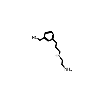 N#CCc1cccc(CCCNCCN)c1